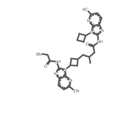 CC(CC(=O)Nc1nc2ccc(C#N)nc2n1C1CCC1)CC1CC(n2c(NC(=O)CC(C)(C)C)nc3ccc(C#N)nc32)C1